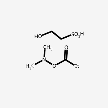 CCC(=O)ON(C)C.O=S(=O)(O)CCO